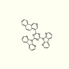 c1ccc2c(c1)ccc1c(-c3nc(-n4c5ncccc5c5cccnc54)nc(-n4c5ncccc5c5cccnc54)n3)cncc12